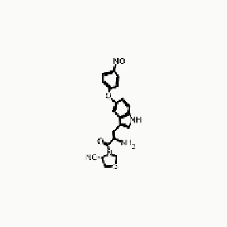 N#C[C@H]1CSCN1C(=O)C(N)Cc1c[nH]c2ccc(Oc3ccc(N=O)cc3)cc12